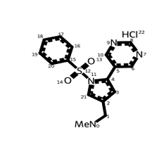 CNCc1cc(-c2cncnc2)n(S(=O)(=O)c2ccccc2)c1.Cl